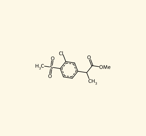 COC(=O)C(C)c1ccc(S(C)(=O)=O)c(Cl)c1